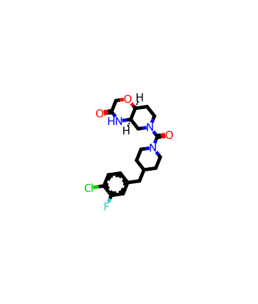 O=C1CO[C@H]2CCN(C(=O)N3CCC(Cc4ccc(Cl)c(F)c4)CC3)C[C@H]2N1